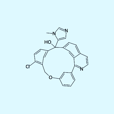 Cn1cncc1C1(O)c2ccc(Cl)c(c2)COc2cccc(c2)-c2nccc3ccc1cc23